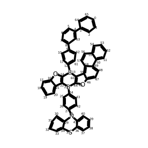 c1ccc(-c2cccc(-c3ccc(B4c5oc6ccccc6c5B(c5ccc(N6c7ccccc7Sc7ccccc76)cc5)c5oc6ccc7c8ccccc8ccc7c6c54)cc3)c2)cc1